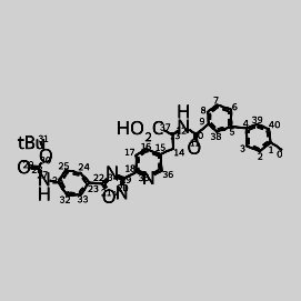 Cc1ccc(-c2cccc(C(=O)NC(Cc3ccc(-c4noc(-c5ccc(NC(=O)OC(C)(C)C)cc5)n4)nc3)C(=O)O)c2)cc1